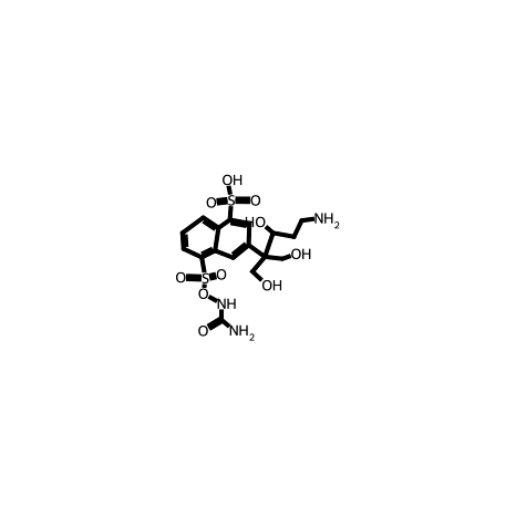 NCCC(O)C(CO)(CO)c1cc(S(=O)(=O)O)c2cccc(S(=O)(=O)ONC(N)=O)c2c1